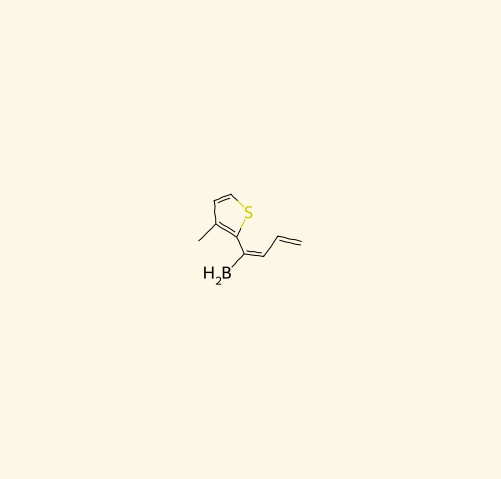 B/C(=C/C=C)c1sccc1C